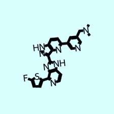 CN(C)Cc1cncc(-c2ccc3[nH]nc(-c4nc5c(-c6ccc(F)s6)nccc5[nH]4)c3n2)c1